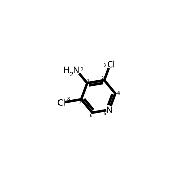 Nc1c(Cl)[c]ncc1Cl